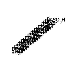 O=S(=O)(O)C(Br)(Br)C(Br)(Br)C(Br)(Br)C(Br)(Br)C(Br)(Br)C(Br)(Br)C(Br)(Br)C(Br)(Br)C(Br)(Br)C(Br)(Br)C(Br)(Br)C(Br)(Br)C(Br)(Br)C(Br)(Br)C(Br)(Br)C(Br)(Br)C(Br)(Br)C(Br)(Br)C(Br)(Br)C(Br)(Br)Br